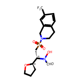 O=CN(O)[C@@H](CS(=O)(=O)N1CCc2ccc(C(F)(F)F)cc2C1)[C@H]1CCCO1